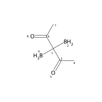 BC(B)(C(C)=O)C(C)=O